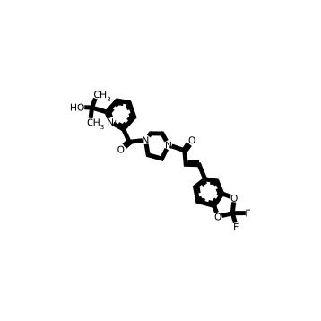 CC(C)(O)c1cccc(C(=O)N2CCN(C(=O)/C=C/c3ccc4c(c3)OC(F)(F)O4)CC2)n1